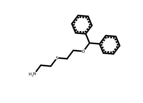 NCCSCCOC(c1ccccc1)c1ccccc1